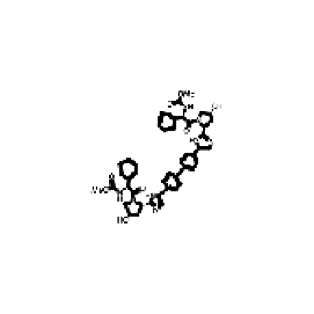 COC(=O)N[C@@H](C(=O)N1C[C@H](O)C[C@H]1c1ncc(-c2ccc(-c3ccc(-c4cnc([C@@H]5C[C@H](O)CN5C(=O)[C@H](NC(=O)OC)c5ccccc5)[nH]4)cc3)cc2)[nH]1)c1ccccc1